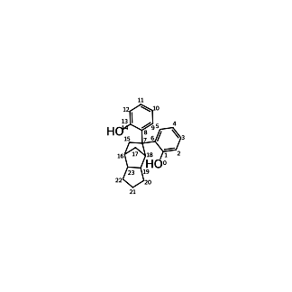 Oc1ccccc1C1(c2ccccc2O)CC2CC1C1CCCC21